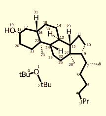 CC(C)(C)OC(C)(C)C.CC(C)CCC[C@@H](C)[C@H]1CC[C@H]2[C@@H]3CC[C@H]4C[C@@H](O)CC[C@]4(C)[C@H]3CC[C@]12C